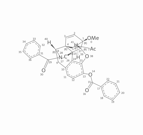 CO[C@]12C=C[C@@]3(C[C@@H]1C(C)=O)[C@H]1Cc4ccc(OC(=O)c5ccccc5)c5c4[C@@]3(CCN1C(=O)c1ccccc1)[C@H]2O5